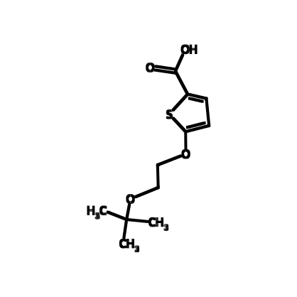 CC(C)(C)OCCOc1ccc(C(=O)O)s1